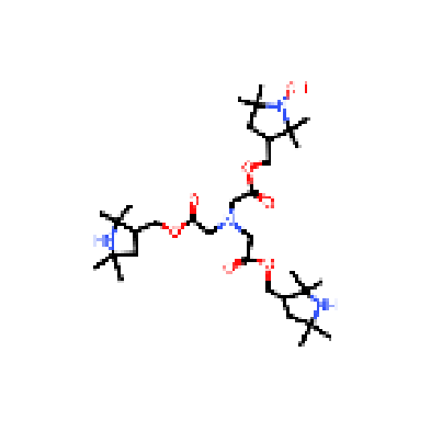 CC1(C)CC(COC(=O)CN(CC(=O)OCC2CC(C)(C)NC2(C)C)CC(=O)OCC2CC(C)(C)N(O)C2(C)C)C(C)(C)N1